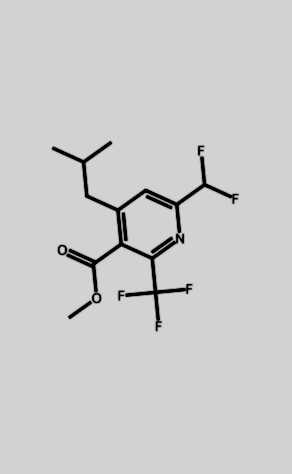 COC(=O)c1c(CC(C)C)cc(C(F)F)nc1C(F)(F)F